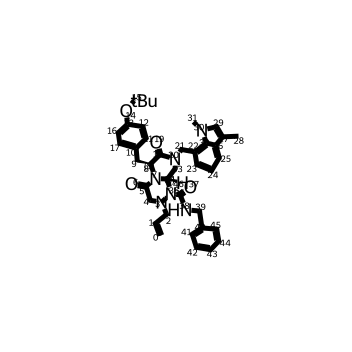 C=CCN1CC(=O)N2[C@@H](Cc3ccc(OC(C)(C)C)cc3)C(=O)N(Cc3cccc4c(C)cn(C)c34)C[C@@H]2N1C(=O)NCc1ccccc1